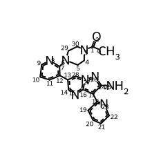 CC(=O)N1CCN(c2ncccc2-c2cnc3c(-c4ccccn4)c(N)nn3c2)CC1